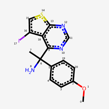 COc1ccc(C(C)(N)c2ncnc3scc(I)c23)cc1